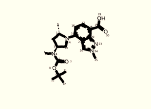 C[C@H]1C[C@H](N(C)C(=O)OC(C)(C)C)CN1c1ccc(C(=O)O)c2nn(C)cc12